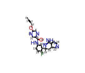 CC#CCOc1cnc(C(=O)Nc2ccc(F)c(C3(C)Cc4cnccc4C(N)=N3)c2)cn1